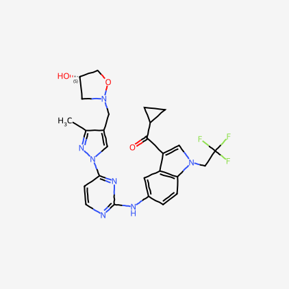 Cc1nn(-c2ccnc(Nc3ccc4c(c3)c(C(=O)C3CC3)cn4CC(F)(F)F)n2)cc1CN1C[C@H](O)CO1